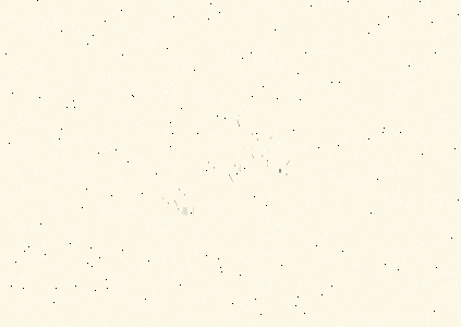 [CH2]C(=O)C(CO)NC(=O)[C@H](CC(=O)O)N(C)C(=O)CNC(=O)C(N)CCCNC(=N)N